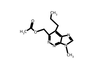 CCCc1c(COC(C)=O)nnc2c1ncn2C